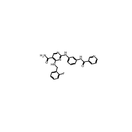 NC(=O)c1cnc(Nc2cccc(NC(=O)c3cccnc3)c2)nc1NCc1ccccc1F